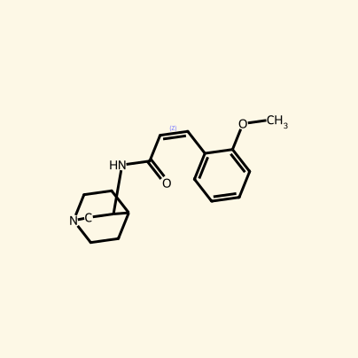 COc1ccccc1/C=C\C(=O)NC1CN2CCC1CC2